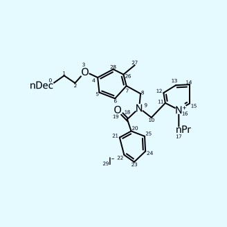 CCCCCCCCCCCCOc1ccc(CN(Cc2cccc[n+]2CCC)C(=O)c2ccccc2)c(C)c1.[I-]